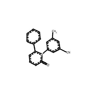 Cc1cc(C#N)cc(-n2c(-c3ccccc3)cccc2=O)c1